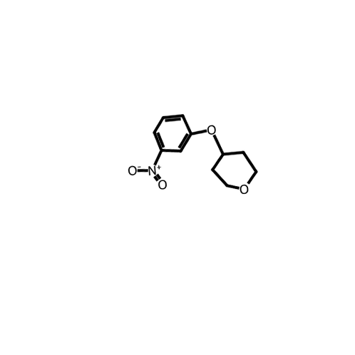 O=[N+]([O-])c1cccc(OC2CCOCC2)c1